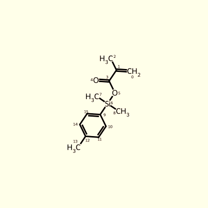 C=C(C)C(=O)O[Si](C)(C)c1ccc(C)cc1